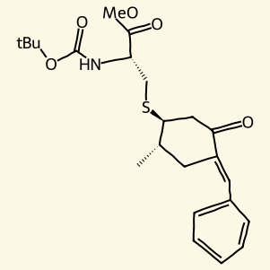 COC(=O)[C@H](CS[C@H]1CC(=O)/C(=C/c2ccccc2)C[C@@H]1C)NC(=O)OC(C)(C)C